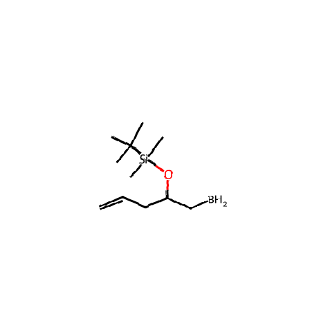 BCC(CC=C)O[Si](C)(C)C(C)(C)C